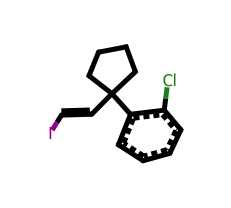 Clc1ccccc1C1(C=CI)CCCC1